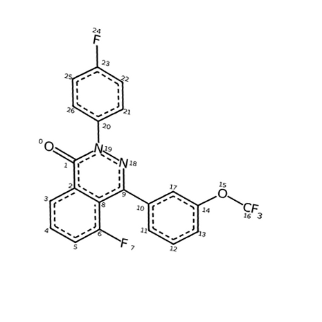 O=c1c2cccc(F)c2c(-c2cccc(OC(F)(F)F)c2)nn1-c1ccc(F)cc1